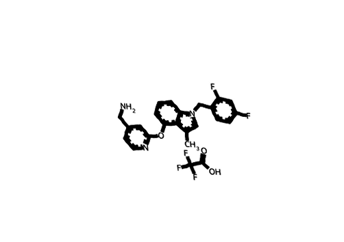 Cc1cn(Cc2ccc(F)cc2F)c2cccc(Oc3cc(CN)ccn3)c12.O=C(O)C(F)(F)F